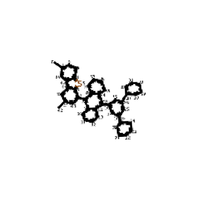 Cc1ccc2sc3c(-c4c5ccccc5c(-c5cc(-c6ccccc6)cc(-c6ccccc6)c5)c5ccccc45)cc(C)cc3c2c1